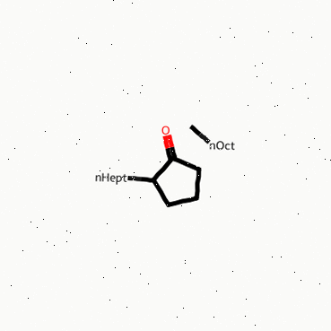 CCCCCCCC1CCCC1=O.CCCCCCCCC